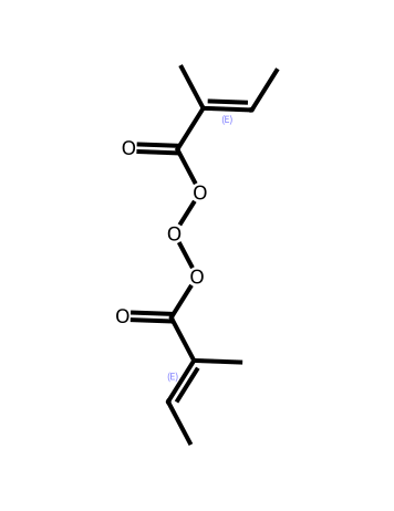 C/C=C(\C)C(=O)OOOC(=O)/C(C)=C/C